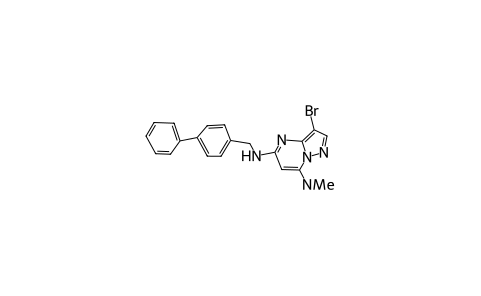 CNc1cc(NCc2ccc(-c3ccccc3)cc2)nc2c(Br)cnn12